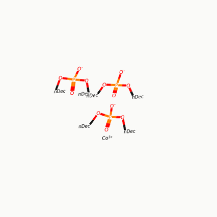 CCCCCCCCCCOP(=O)([O-])OCCCCCCCCCC.CCCCCCCCCCOP(=O)([O-])OCCCCCCCCCC.CCCCCCCCCCOP(=O)([O-])OCCCCCCCCCC.[Co+3]